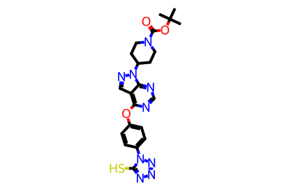 CC(C)(C)OC(=O)N1CCC(n2ncc3c(Oc4ccc(-n5nnnc5S)cc4)ncnc32)CC1